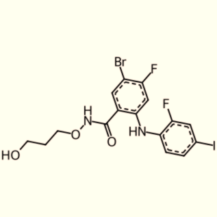 O=C(NOCCCO)c1cc(Br)c(F)cc1Nc1ccc(I)cc1F